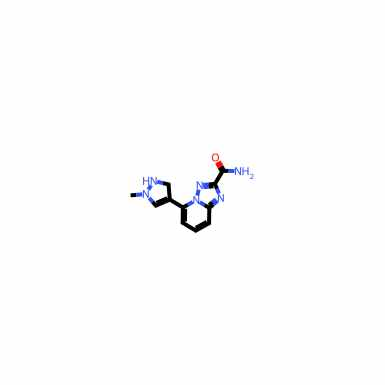 CN1C=C(c2cccc3nc(C(N)=O)nn23)CN1